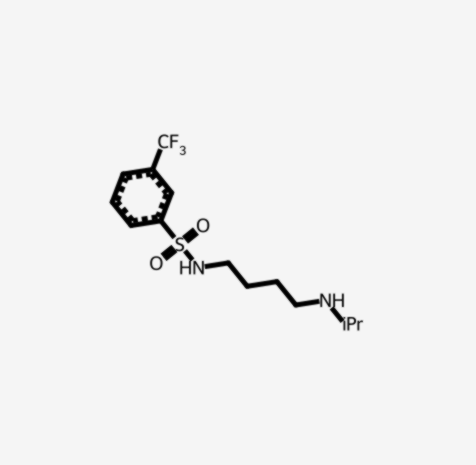 CC(C)NCCCCNS(=O)(=O)c1cccc(C(F)(F)F)c1